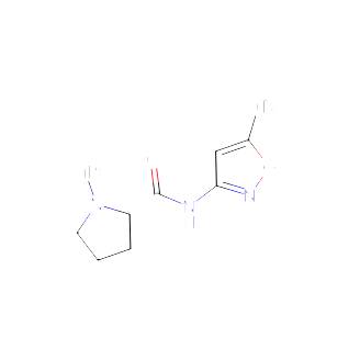 CC(C)N1CCC[C@H]1C(=O)Nc1cc(C(C)(C)C)on1